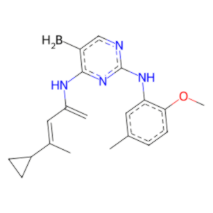 Bc1cnc(Nc2cc(C)ccc2OC)nc1NC(=C)/C=C(\C)C1CC1